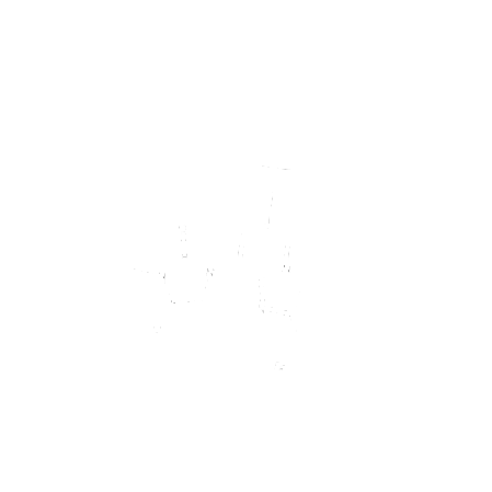 CN1C(=O)CN(c2cc(C3CC3)cn3cc(CBr)nc23)C1=O